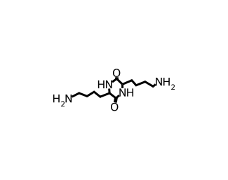 NCCCCC1NC(=O)C(CCCCN)NC1=O